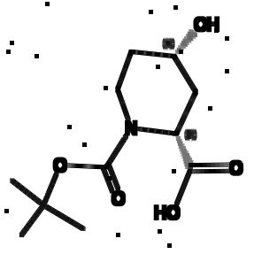 CC(C)(C)OC(=O)N1CC[C@H](O)C[C@@H]1C(=O)O